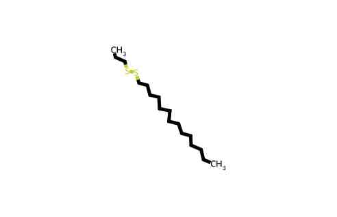 CCCCCCCCCCCCCCSSCCC